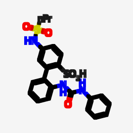 CCCS(=O)(=O)Nc1ccc(S(=O)(=O)O)c(-c2ccccc2NC(=O)Nc2ccccc2)c1